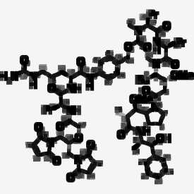 CC[C@H](C)[C@@H]([C@@H](CC(=O)N1CCCC1[C@H](OC)[C@@H](C)C(=O)N[C@H](C)[C@@H](O)c1ccccc1)OC)N(C)C(=O)[C@@H](NC(=O)[C@H](C(C)C)N(C)C(=O)OCc1ccc(NC(=O)[C@H](CCCNC(N)=O)NC(=O)[C@@H](NC(=O)COC(CN2C(=O)C=CC2=O)CN2C(=O)C=CC2=O)C(C)C)cc1)C(C)C